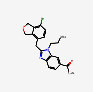 COCCn1c(Cc2ccc(Br)c3c2COC3)nc2ccc(C(=O)OC)cc21